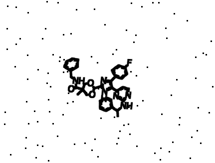 CC(Nc1nccc(-c2[nH]c(C3OCC(C)(C(=O)NCc4ccccc4)CO3)nc2-c2ccc(F)cc2)n1)c1ccccc1